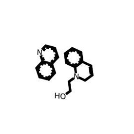 OCCN1CC=Cc2ccccc21.c1ccc2ncccc2c1